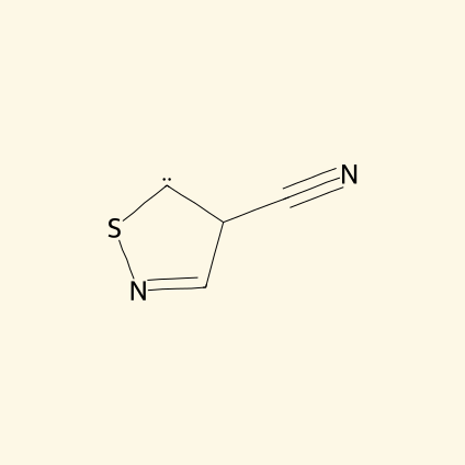 N#CC1[C]SN=C1